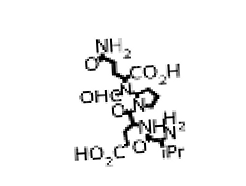 CC(C)C(N)C(=O)NC(CCC(=O)O)C(=O)N1CCCC1N(C=O)C(CCC(N)=O)C(=O)O